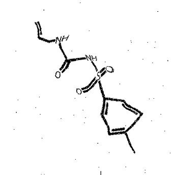 C=CNC(=O)NS(=O)(=O)c1ccc(C)cc1